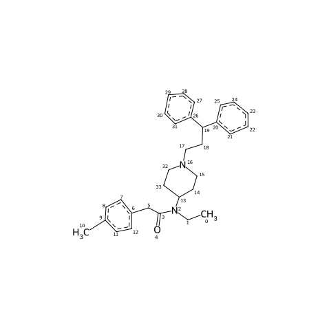 CCN(C(=O)Cc1ccc(C)cc1)C1CCN(CCC(c2ccccc2)c2ccccc2)CC1